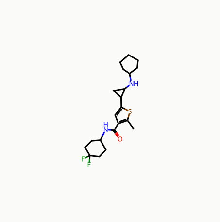 Cc1sc(C2CC2NC2CCCCC2)cc1C(=O)NC1CCC(F)(F)CC1